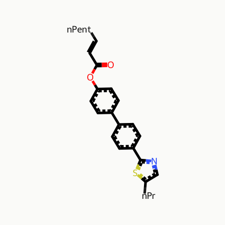 CCCCC/C=C/C(=O)Oc1ccc(-c2ccc(-c3ncc(CCC)s3)cc2)cc1